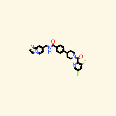 O=C(NCc1ccn2ccnc2c1)c1ccc(C2CCN(C(=O)c3ncc(F)cc3F)CC2)cc1